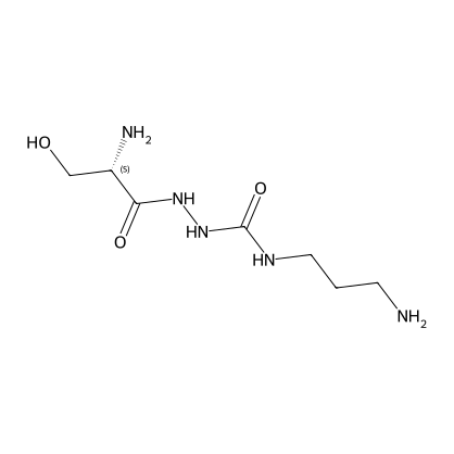 NCCCNC(=O)NNC(=O)[C@@H](N)CO